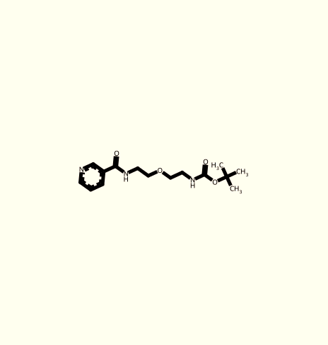 CC(C)(C)OC(=O)NCCOCCNC(=O)c1cccnc1